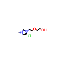 Cn1cc[n+](CCOCCO)c1.[Cl-]